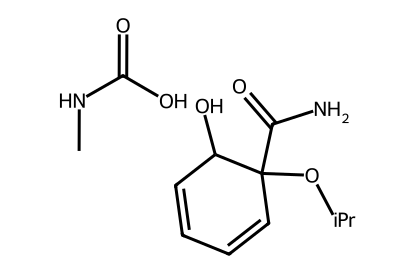 CC(C)OC1(C(N)=O)C=CC=CC1O.CNC(=O)O